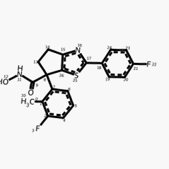 Cc1c(F)cccc1C1(C(=O)NO)CCc2nc(-c3ccc(F)cc3)sc21